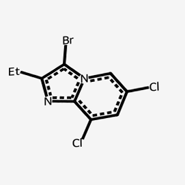 CCc1nc2c(Cl)cc(Cl)cn2c1Br